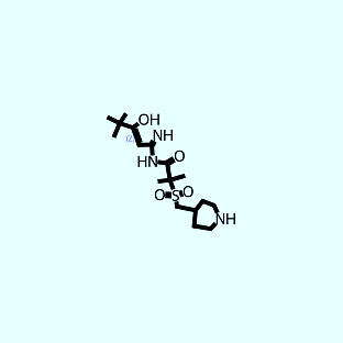 CC(C)(C)/C(O)=C/C(=N)NC(=O)C(C)(C)S(=O)(=O)CC1CCNCC1